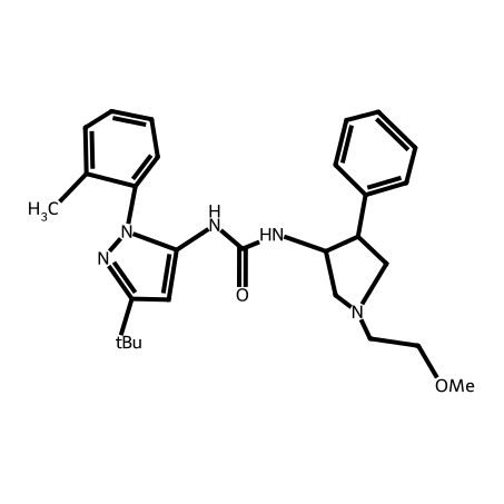 COCCN1CC(NC(=O)Nc2cc(C(C)(C)C)nn2-c2ccccc2C)C(c2ccccc2)C1